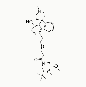 COC(CN(CCC(C)(C)C)C(=O)CCOCCc1ccc(O)c(C2(c3ccccc3)CCN(C)CC2)c1)OC